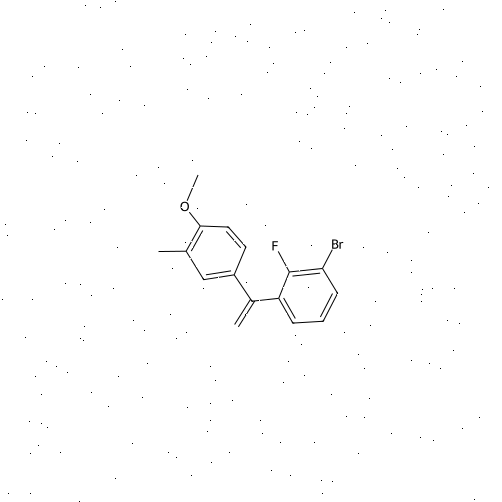 C=C(c1ccc(OC)c(C)c1)c1cccc(Br)c1F